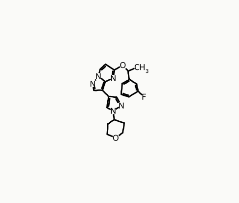 CC(Oc1ccn2ncc(-c3cnn(C4CCOCC4)c3)c2n1)c1cccc(F)c1